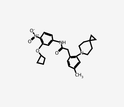 Cc1ccc(CC(=O)Nc2ccc([N+](=O)[O-])c(OC3CCC3)c2)c(N2CCC3(CC2)CC3)c1